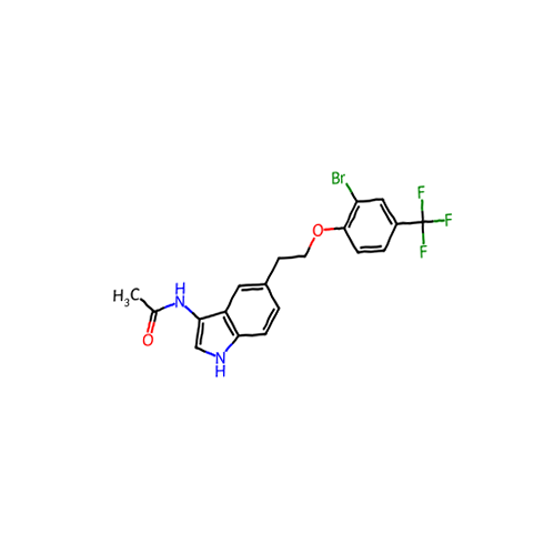 CC(=O)Nc1c[nH]c2ccc(CCOc3ccc(C(F)(F)F)cc3Br)cc12